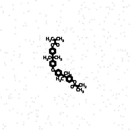 C=C(C)C(=O)Oc1ccc(C(C)(C)c2ccc(Oc3ccc(C(C)(C)c4ccc(OC(=O)C(=C)C)cc4)cc3)cc2)cc1